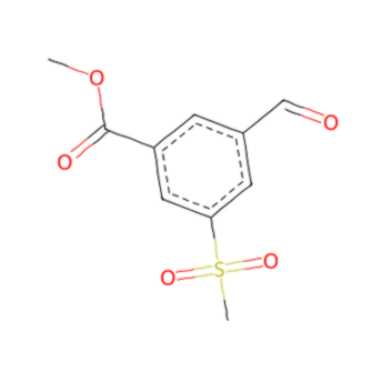 COC(=O)c1cc(C=O)cc(S(C)(=O)=O)c1